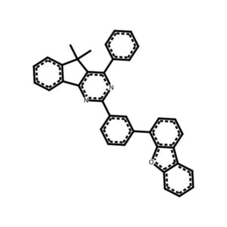 CC1(C)c2ccccc2-c2nc(-c3cccc(-c4cccc5c4oc4ccccc45)c3)nc(-c3ccccc3)c21